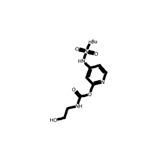 CCCCS(=O)(=O)Nc1ccnc(OC(=O)NCCO)c1